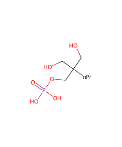 CCCC(CO)(CO)COP(=O)(O)O